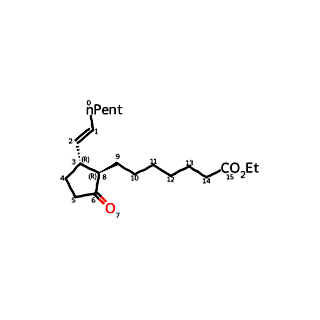 CCCCCC=C[C@H]1CCC(=O)[C@@H]1CCCCCCC(=O)OCC